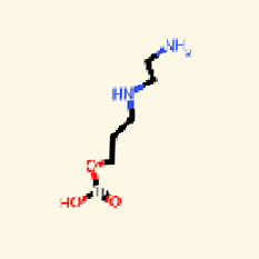 NCCNCCC[O][Ti](=[O])[OH]